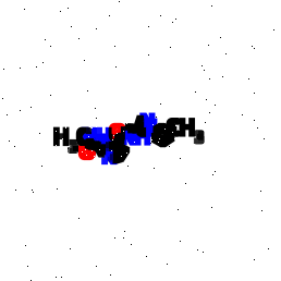 CNC(=O)c1cn2cccc(C(=O)NCc3cnn(-c4cccc(C)c4)c3)c2n1